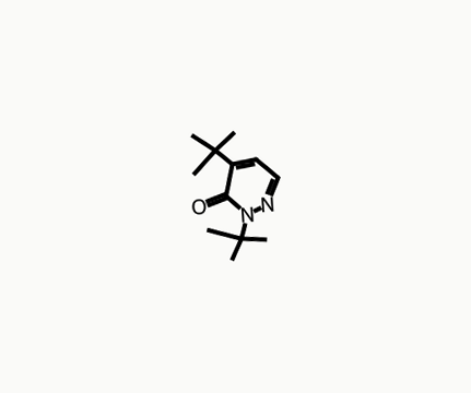 CC(C)(C)c1ccnn(C(C)(C)C)c1=O